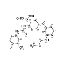 CC(C)(C)OC=O.Cc1ccc(NC(=O)NC2CCC(Oc3cc(NCCN)ncn3)CC2)cc1C(F)(F)F